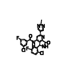 Cc1ncc(-c2cc(NC(=O)c3cc(F)cc(Cl)c3)c3c(n2)C(=O)NC3c2cc(F)ccc2Cl)cn1